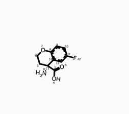 N[C@]1(C(=O)O)CCOc2ccc(F)cc21